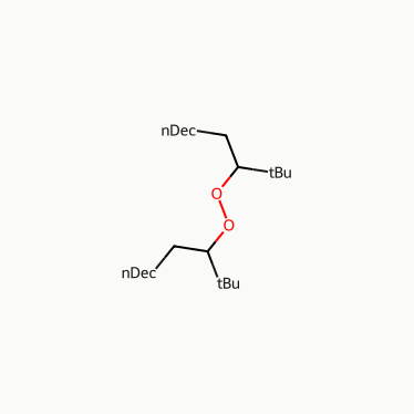 CCCCCCCCCCCC(OOC(CCCCCCCCCCC)C(C)(C)C)C(C)(C)C